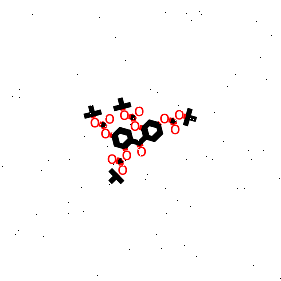 CC(C)(C)OC(=O)Oc1ccc(C(=O)c2ccc(OC(=O)OC(C)(C)C)cc2OC(=O)OC(C)(C)C)c(OC(=O)OC(C)(C)C)c1